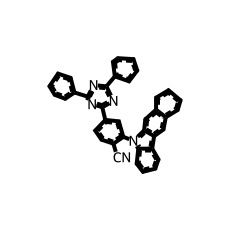 N#Cc1ccc(-c2nc(-c3ccccc3)nc(-c3ccccc3)n2)cc1-n1c2ccccc2c2cc3ccccc3cc21